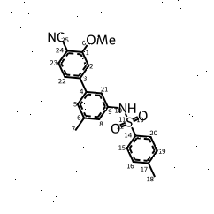 COc1cc(-c2cc(C)cc(NS(=O)(=O)c3ccc(C)cc3)c2)ccc1C#N